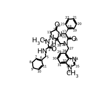 CN(C(=O)NCC1=CCCC=C1)N1CC(=O)N2[C@@H](c3ccccc3)C(=O)N(Cc3cccc4c3ncn4C)C[C@@H]21